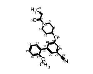 C=CC(=O)N1CCC(Oc2cc(-c3ccccc3OC)cc(C#N)n2)CC1